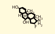 C[C@]12C=C[C@H](O)C[C@H]1C[C@H](O)C1=C3C[C@@H](F)[C@H](N)[C@@]3(C)CC[C@@H]12